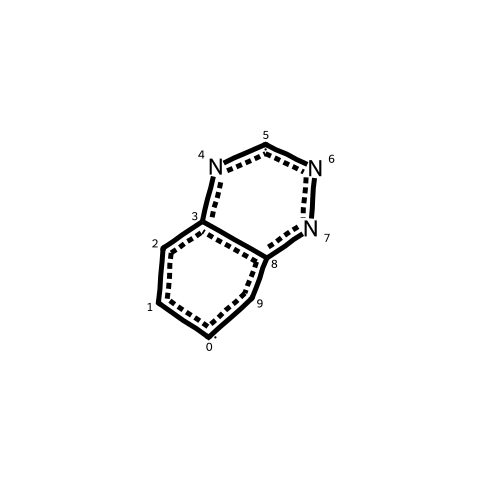 [c]1ccc2n[c]nnc2c1